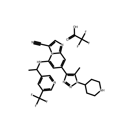 Cc1c(-c2cc(NC(C)c3cncc(C(F)(F)F)c3)n3c(C#N)cnc3c2)nnn1C1CCNCC1.O=C(O)C(F)(F)F